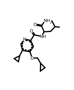 CC(C)CC(NC(=O)c1cc(OCC2CC2)c(C2CC2)cn1)C(N)=O